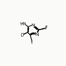 [NH]c1nc(F)nc(F)c1Cl